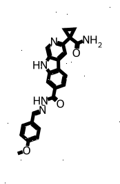 COc1ccc(C=NNC(=O)c2ccc3c(c2)[nH]c2cnc(C4(C(N)=O)CC4)cc23)cc1